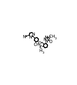 Cc1cc(-c2nccc(C#N)n2)ccc1OCc1c(C)cccc1-n1nnn(C)c1=O